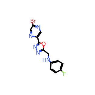 Fc1ccc(NCc2nnc(-c3cnc(Br)cn3)o2)cc1